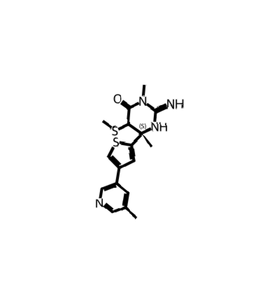 CSC1C(=O)N(C)C(=N)N[C@]1(C)c1cc(-c2cncc(C)c2)cs1